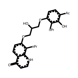 CCCc1c(OCC(O)COc2ccc3c(=O)cc[nH]c3c2CCC)ccc(C(C)=O)c1O